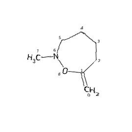 C=C1CCCCN(C)O1